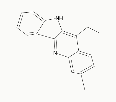 CCc1c2ccc(C)cc2nc2c1[nH]c1ccccc12